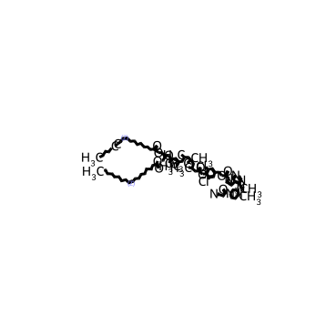 CCCCCCCC/C=C\CCCCCCCC(=O)OCC(COC(=O)CCCCCCC/C=C\CCCCCCCC)OC(=O)CC(C)CC(C)CC(C)(C)CC(C)CC(=O)Oc1c(Cl)cc(COC(=O)n2ccc3c(N(C)[C@H]4CN(C(=O)CC#N)CC[C@H]4C)ncnc32)cc1Cl